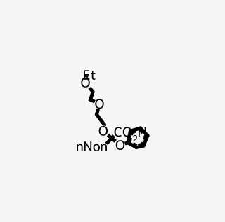 CCCCCCCCCC(OCCOCCOCC)(Oc1ccccc1)C(=O)O